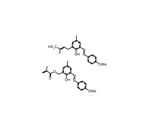 C=C(C)C(=O)OCc1cc(C)cc(N=Nc2ccc(OC)cc2)c1O.COc1ccc(N=Nc2cc(C)cc(CC=C(C)C(=O)O)c2O)cc1